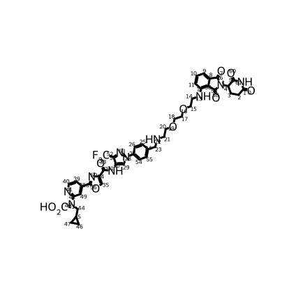 O=C1CCC(N2C(=O)c3cccc(NCCOCCOCCNCc4ccc(-n5cc(NC(=O)c6coc(-c7ccnc(N(CC8CC8)C(=O)O)c7)n6)c(C(F)(F)F)n5)cc4)c3C2=O)C(=O)N1